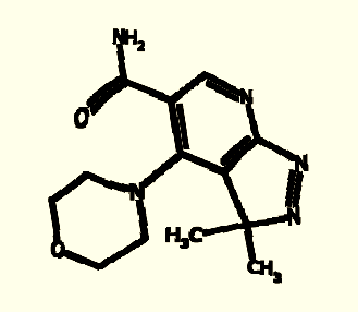 CC1(C)N=Nc2ncc(C(N)=O)c(N3CCOCC3)c21